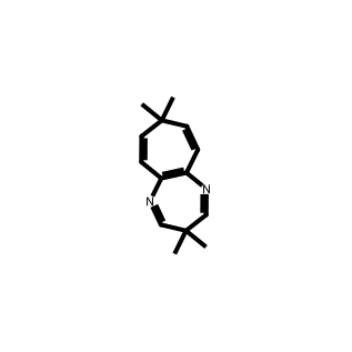 CC1(C)C=CC2=C(C=C1)N=CC(C)(C)C=N2